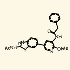 COc1ncc(-c2ccc3c(c2)SC(NC(C)=O)N3)cc1NC(=O)Cc1ccccc1